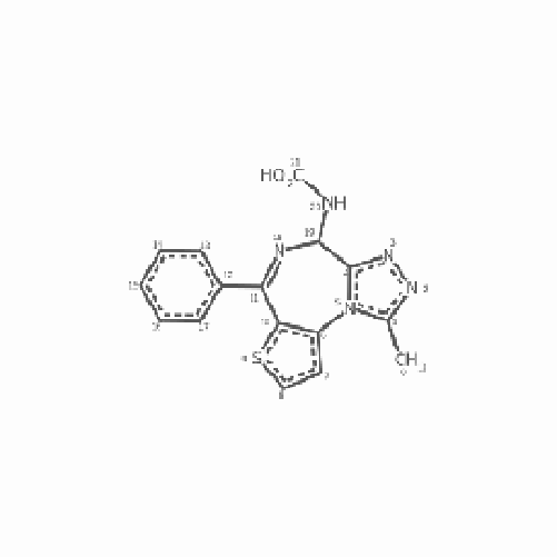 Cc1nnc2n1-c1ccsc1C(c1ccccc1)=NC2NC(=O)O